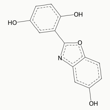 Oc1ccc(O)c(-c2nc3cc(O)ccc3o2)c1